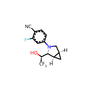 N#Cc1ccc(N2C[C@H]3C[C@H]3[C@@H]2[C@H](O)C(F)(F)F)cc1F